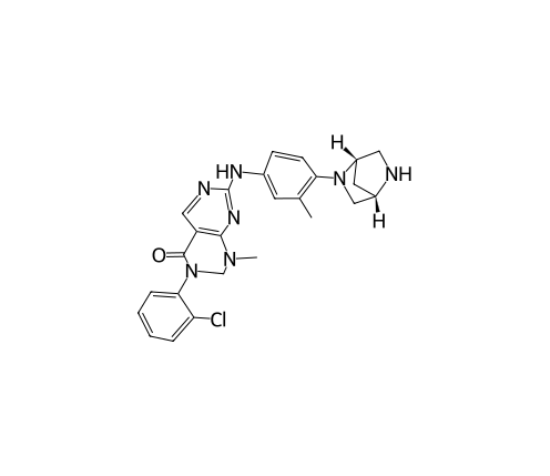 Cc1cc(Nc2ncc3c(n2)N(C)CN(c2ccccc2Cl)C3=O)ccc1N1C[C@@H]2C[C@H]1CN2